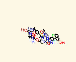 C=CC(=O)N1CCN(c2nc(O[C@H](C)CN3CCC(COCC(=O)N[C@H](C(=O)N4C[C@H](O)C[C@H]4C(=O)N[C@@H](C)c4ccc(-c5scnc5C)cc4)C(C)(C)C)CC3)nc3c(F)c(-c4cc(O)cc5ccccc45)c(Cl)cc23)CC1